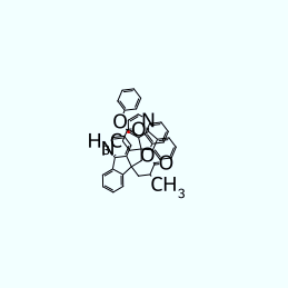 CC(CC1(CC2(CC(C)C(=O)Oc3ccccc3)c3ccccc3-c3ncccc32)c2ccccc2-c2ncccc21)C(=O)Oc1ccccc1